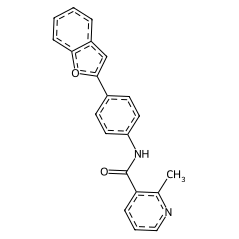 Cc1ncccc1C(=O)Nc1ccc(-c2cc3ccccc3o2)cc1